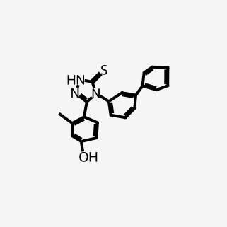 Cc1cc(O)ccc1-c1n[nH]c(=S)n1-c1cccc(-c2ccccc2)c1